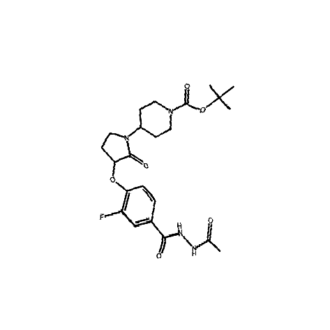 CC(=O)NNC(=O)c1ccc(OC2CCN(C3CCN(C(=O)OC(C)(C)C)CC3)C2=O)c(F)c1